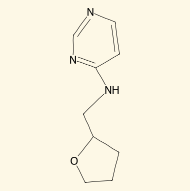 c1cc(NCC2CCCO2)ncn1